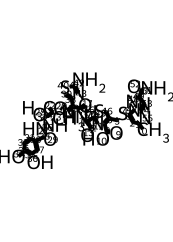 Cc1cc(SCC2=C(C(=O)O)N3C(=O)[C@@H](NC(=O)C(=NOC(C)(C)C(=O)NNC(=O)c4ccc(O)c(O)c4)c4csc(N)n4)[C@H]3SC2)n2nc(C(N)=O)nc2n1